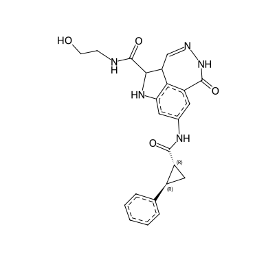 O=C1NN=CC2c3c(cc(NC(=O)[C@@H]4C[C@H]4c4ccccc4)cc31)NC2C(=O)NCCO